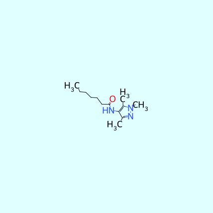 CCCCCCC(=O)Nc1c(C)nn(C)c1C